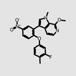 COc1nccc2c(-c3cc([N+](=O)[O-])ccc3Oc3ccc(C)c(F)c3)cn(C)c12